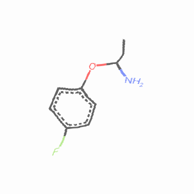 CC(N)Oc1ccc(F)cc1